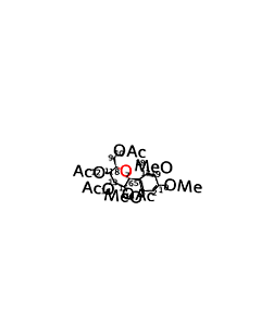 COc1cc(OC)c([C@@H]2O[C@H](COC(C)=O)[C@H](OC(C)=O)[C@H](OC(C)=O)[C@H]2OC(C)=O)c(OC)c1